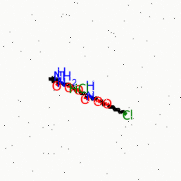 CC(C)(C)[C@H](N)C(=O)NCCOCCOCCC(=O)NCCOCCOCCCCCCCl.Cl